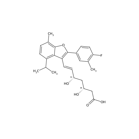 Cc1cc(-c2oc3c(C)ccc(C(C)C)c3c2C=C[C@@H](O)C[C@@H](O)CC(=O)O)ccc1F